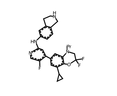 CC(C)N1CC(F)(F)Oc2c(C3CC3)cc(-c3cc(Nc4ccc5c(c4)CCNC5)ncc3F)cc21